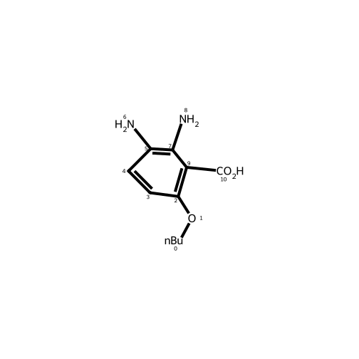 CCCCOc1ccc(N)c(N)c1C(=O)O